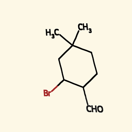 CC1(C)CCC(C=O)C(Br)C1